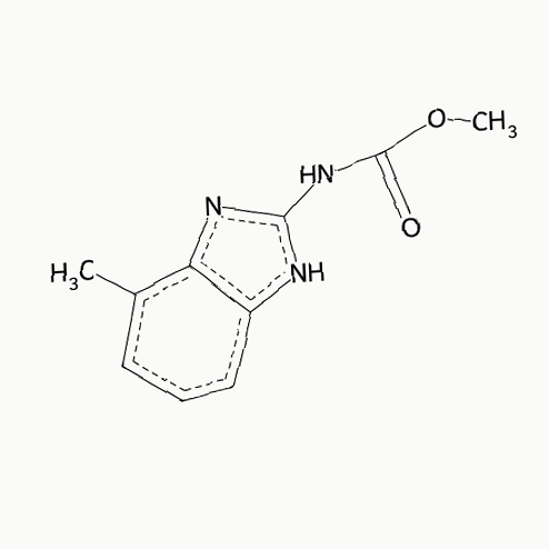 COC(=O)Nc1nc2c(C)cccc2[nH]1